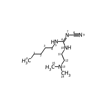 CCCCCN/C(=N/C#N)NCCN(C)C